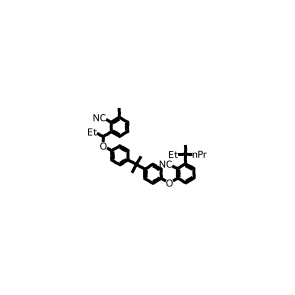 CCCC(C)(CC)c1cccc(Oc2ccc(C(C)(C)c3ccc(OC(CC)c4cccc(C)c4C#N)cc3)cc2)c1C#N